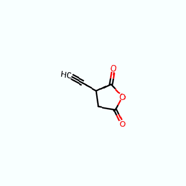 C#CC1CC(=O)OC1=O